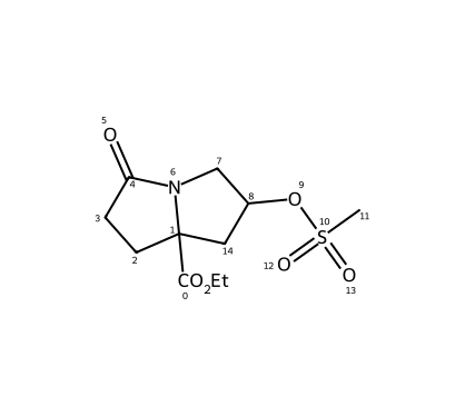 CCOC(=O)C12CCC(=O)N1CC(OS(C)(=O)=O)C2